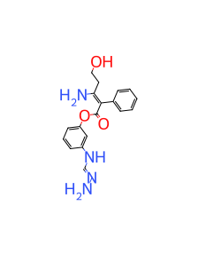 NN=CNc1cccc(OC(=O)C(=C(N)CCO)c2ccccc2)c1